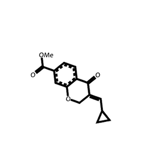 COC(=O)c1ccc2c(c1)OC/C(=C\C1CC1)C2=O